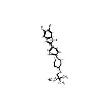 CC(C)(COC1CCN(c2ccc(-c3nc4cc(F)c(F)cc4[nH]3)cn2)CC1)C(=O)O